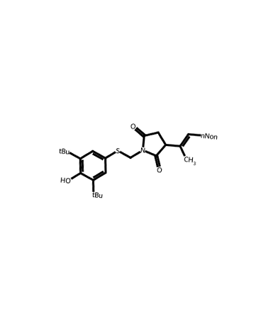 CCCCCCCCCC=C(C)C1CC(=O)N(CSc2cc(C(C)(C)C)c(O)c(C(C)(C)C)c2)C1=O